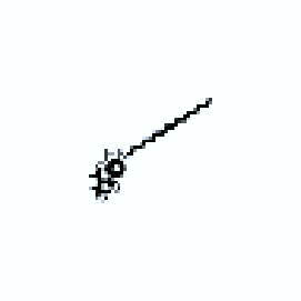 CCCCCCCCCCCCCCCCNc1ccc(C(=O)C(C(C)=O)C(C)=O)cc1